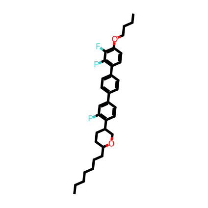 CCCCCCCC1CCC(c2ccc(-c3ccc(-c4ccc(OCCCC)c(F)c4F)cc3)cc2F)CO1